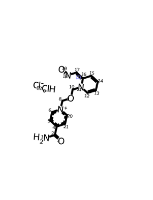 Cl.NC(=O)c1cc[n+](COCN2C=CC=C/C2=C/N=O)cc1.[Cl-]